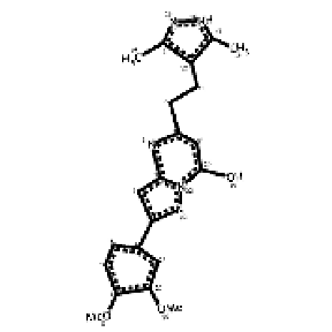 COc1ccc(-c2cc3nc(CCc4c(C)n[nH]c4C)cc(O)n3n2)cc1OC